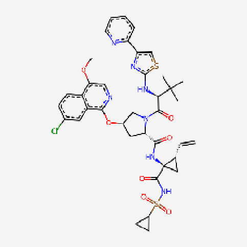 C=C[C@@H]1C[C@]1(NC(=O)[C@@H]1C[C@@H](Oc2ncc(OC)c3ccc(Cl)cc23)CN1C(=O)[C@@H](Nc1nc(-c2ccccn2)cs1)C(C)(C)C)C(=O)NS(=O)(=O)C1CC1